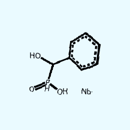 O=[PH](O)C(O)c1ccccc1.[Nb]